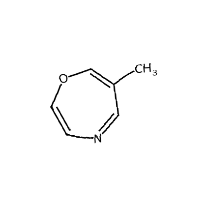 CC1=COC=CN=C1